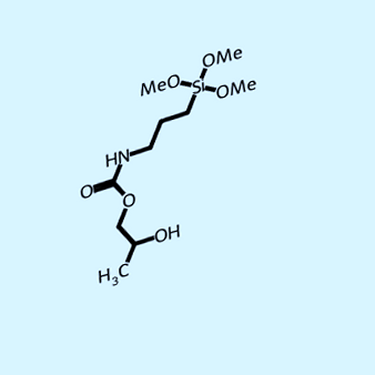 CO[Si](CCCNC(=O)OCC(C)O)(OC)OC